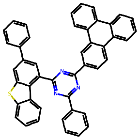 c1ccc(-c2cc(-c3nc(-c4ccccc4)nc(-c4ccc5c6ccccc6c6ccccc6c5c4)n3)c3c(c2)sc2ccccc23)cc1